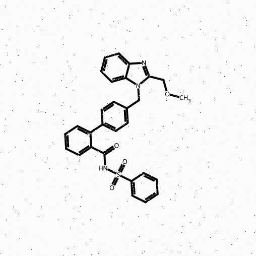 COCc1nc2ccccc2n1Cc1ccc(-c2ccccc2C(=O)NS(=O)(=O)c2ccccc2)cc1